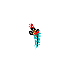 CCOc1ccc(S(OS(=O)(=O)C(F)(F)C(F)(F)C(F)(F)C(F)(F)C(F)(F)C(F)(F)C(F)(F)C(F)(F)F)(c2ccccc2)c2ccccc2)cc1